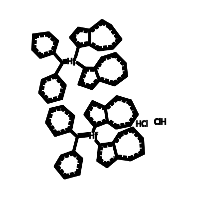 Cl.Cl.c1ccc([C](c2ccccc2)=[Hf]([c]2ccc3cccccc2-3)[c]2ccc3cccccc2-3)cc1.c1ccc([C](c2ccccc2)=[Hf]([c]2ccc3cccccc2-3)[c]2ccc3cccccc2-3)cc1